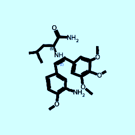 CC(C)C[C@H](N)C(N)=O.COc1ccc(/C=C\c2cc(OC)c(OC)c(OC)c2)cc1N